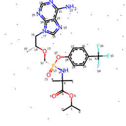 CC(C)OC(=O)C(C)(C)N[P@](=O)(CO[C@H](C)Cn1cnc2c(N)ncnc21)Oc1ccc(C(F)(F)F)cc1